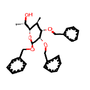 C[C@H]1[C@H](OCc2ccccc2)[C@H](OCc2ccccc2)[C@@H](OCc2ccccc2)O[C@@H]1[C@H](C)O